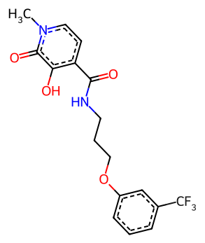 Cn1ccc(C(=O)NCCCOc2cccc(C(F)(F)F)c2)c(O)c1=O